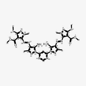 COC(=O)c1c(SC)nn(C)c1/N=N/c1c(C)nn(-c2cc(-n3nc(C)c(/N=N/c4c(C(=O)OC)c(SC)nn4C)c3N)ncn2)c1N